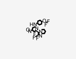 O=Nc1cc(Nc2ccc(OC(F)F)cc2)nc(-c2c(C(F)(F)F)nc3ccccn23)c1